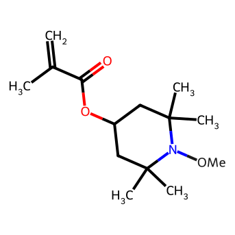 C=C(C)C(=O)OC1CC(C)(C)N(OC)C(C)(C)C1